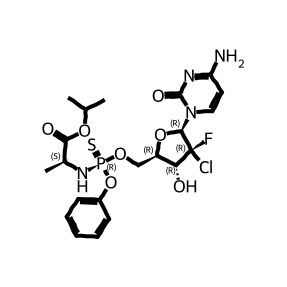 CC(C)OC(=O)[C@H](C)N[P@@](=S)(OC[C@H]1O[C@@H](n2ccc(N)nc2=O)[C@](F)(Cl)[C@@H]1O)Oc1ccccc1